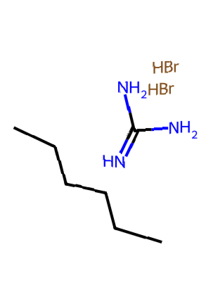 Br.Br.CCCCCC.N=C(N)N